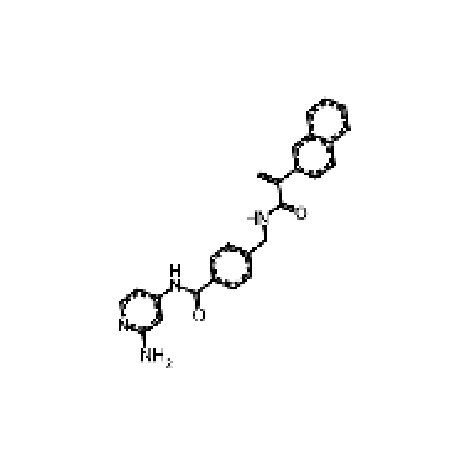 C=C(C(=O)NCc1ccc(C(=O)Nc2ccnc(N)c2)cc1)c1ccc2ccccc2c1